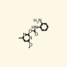 COc1cc(C)nc(OC(=O)Nc2ccccc2N)n1